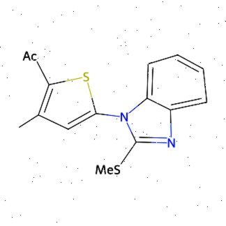 CSc1nc2ccccc2n1-c1cc(C)c(C(C)=O)s1